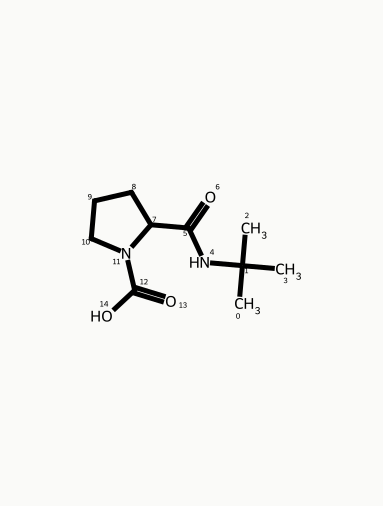 CC(C)(C)NC(=O)C1CCCN1C(=O)O